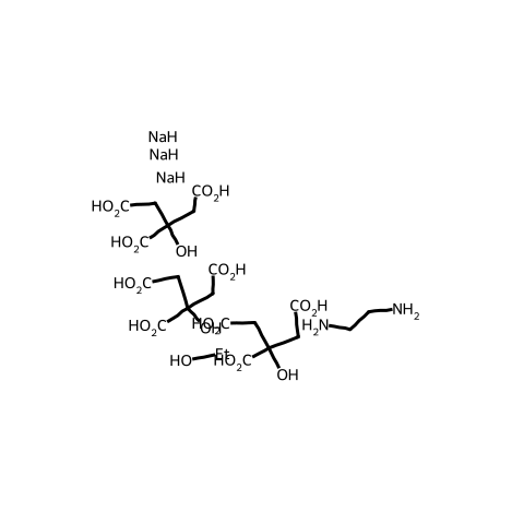 CCO.NCCN.O=C(O)CC(O)(CC(=O)O)C(=O)O.O=C(O)CC(O)(CC(=O)O)C(=O)O.O=C(O)CC(O)(CC(=O)O)C(=O)O.[NaH].[NaH].[NaH]